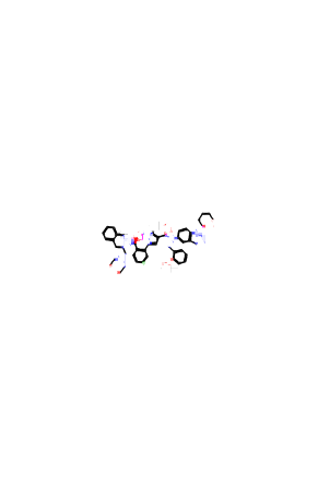 COc1ccccc1CN(C(=O)c1cc(-c2cc(Cl)ccc2C(=O)N2Cc3ccccc3CC2CN2CCOCC2)n(C)c1C)c1ccc2c(cnn2C2CCCCO2)c1